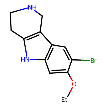 CCOc1cc2[nH]c3c(c2cc1Br)CNCC3